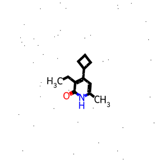 CCc1c(C2CCC2)cc(C)[nH]c1=O